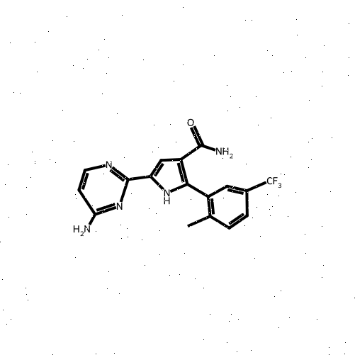 Cc1ccc(C(F)(F)F)cc1-c1[nH]c(-c2nccc(N)n2)cc1C(N)=O